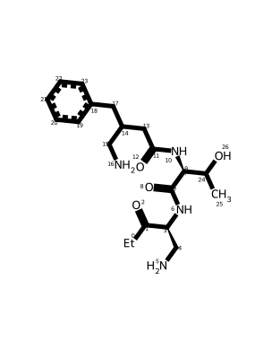 CCC(=O)[C@H](CN)NC(=O)[C@@H](NC(=O)CC(CN)Cc1ccccc1)C(C)O